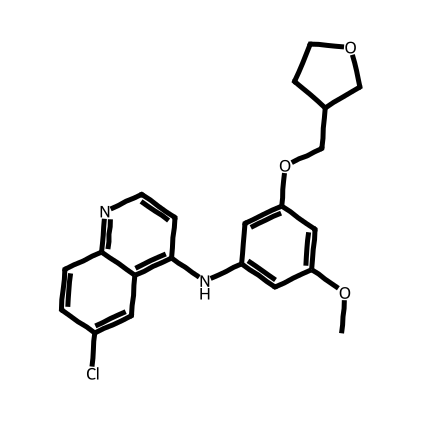 COc1cc(Nc2ccnc3ccc(Cl)cc23)cc(OCC2CCOC2)c1